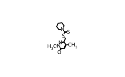 Cc1cc(=O)n(C)nc1CSC(=S)N1CCCCC1